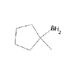 BC1(C)CCCC1